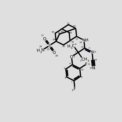 CC(C)(Oc1ccc(F)cc1F)/C(=N\C#N)NC1C2CC3CC1CC(S(N)(=O)=O)(C3)C2